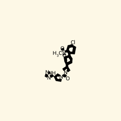 CS(=O)(=O)c1cc(Cl)ccc1-c1ccc(C2CN(C(=O)N3CC[C@H](c4ncn[nH]4)C3)C2)cc1